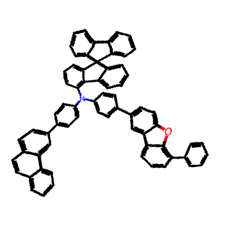 c1ccc(-c2cccc3c2oc2ccc(-c4ccc(N(c5ccc(-c6ccc7ccc8ccccc8c7c6)cc5)c5cccc6c5-c5ccccc5C65c6ccccc6-c6ccccc65)cc4)cc23)cc1